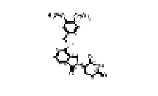 COc1ccc(COc2cccc3c2CN(C2CCC(=O)NC2=O)C3=O)cc1OC